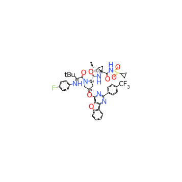 C=C[C@@H]1C[C@]1(NC(=O)[C@@H]1C[C@@H](Oc2nc(-c3ccc(C(F)(F)F)cc3)nc3c2oc2ccccc23)CN1C(=O)[C@@H](Nc1ccc(F)cc1)C(C)(C)C)C(=O)NS(=O)(=O)C1CC1